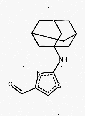 O=Cc1csc(NC23CC4CC(CC(C4)C2)C3)n1